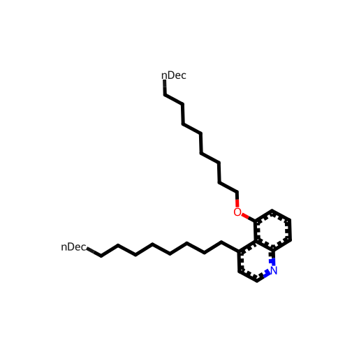 CCCCCCCCCCCCCCCCCCOc1cccc2nccc(CCCCCCCCCCCCCCCCCC)c12